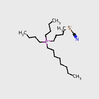 CCCCCCCC[P+](CCCC)(CCCC)CCCC.N#C[S-]